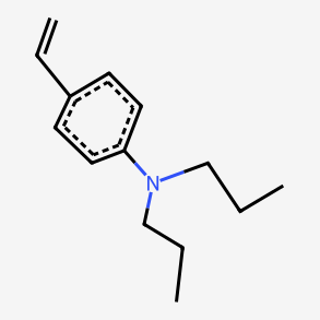 C=Cc1ccc(N(CCC)CCC)cc1